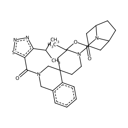 CCOC(=O)N1C2CCC1CC(N1CCC3(CC1)CN(C(=O)c1snnc1C(C)C)Cc1ccccc13)C2